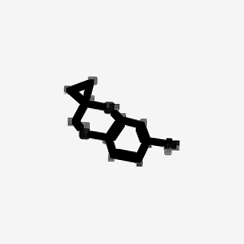 CC(=O)c1ccc2c(c1)OC1(CC1)CO2